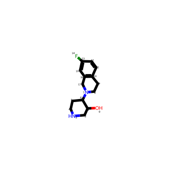 OC1CNCCC1N1CCc2ccc(F)cc2C1